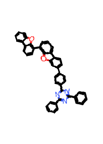 c1ccc(-c2nc(-c3ccccc3)nc(-c3ccc(-c4ccc5c(c4)oc4c(-c6cccc7c6oc6ccccc67)cccc45)cc3)n2)cc1